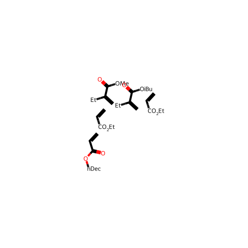 C=C(CC)C(=O)OC.C=C(CC)C(=O)OCC(C)C.C=CC(=O)OCC.C=CC(=O)OCC.C=CC(=O)OCCCCCCCCCC